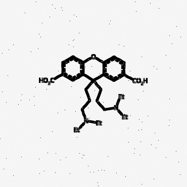 CCN(CC)CCCC1(CCCN(CC)CC)c2cc(C(=O)O)ccc2Oc2ccc(C(=O)O)cc21